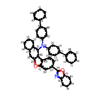 c1ccc(-c2ccc(N(c3ccc(-c4ccccc4)cc3)c3c4ccccc4cc4oc5cc(-c6nc7ccccc7o6)ccc5c34)cc2)cc1